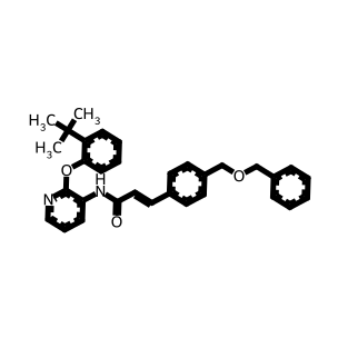 CC(C)(C)c1ccccc1Oc1ncccc1NC(=O)C=Cc1ccc(COCc2ccccc2)cc1